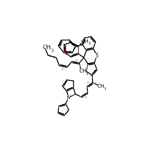 CCC/C=C\C=C(/C)C1(c2ccccc2C)C2=C(C=C(/C(C)=C/C=C\C3C4=C(C=CC4)N3C3=CC=CC3)C2)Sc2cccc(-c3ccccc3)c21